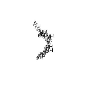 CCCCCCCCNC(=O)N1CCC(Nc2ccc(CCNCC(O)COc3ccc(F)cc3)cc2)CC1